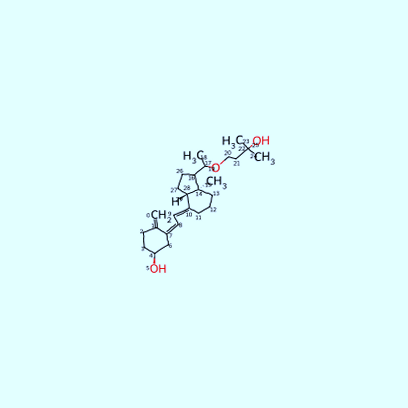 C=C1CC[C@H](O)C/C1=C/C=C1\CCC[C@]2(C)C(C(C)OCCC(C)(C)O)CC[C@@H]12